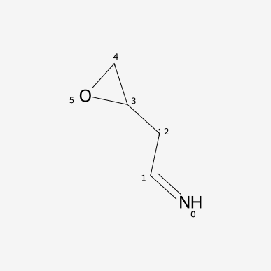 N=C[CH]C1CO1